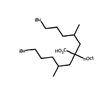 CCCCCCCCC(CC(C)CCCC(C)CC)(CC(C)CCCC(C)CC)C(=O)O